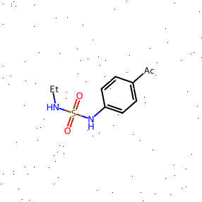 CCNS(=O)(=O)Nc1ccc(C(C)=O)cc1